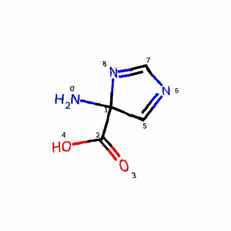 NC1(C(=O)O)C=NC=N1